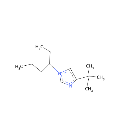 CCCC(CC)n1cnc(C(C)(C)C)c1